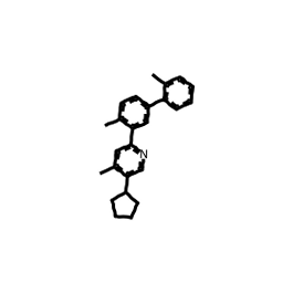 Cc1ccccc1-c1ccc(C)c(-c2cc(C)c(C3CCCC3)cn2)c1